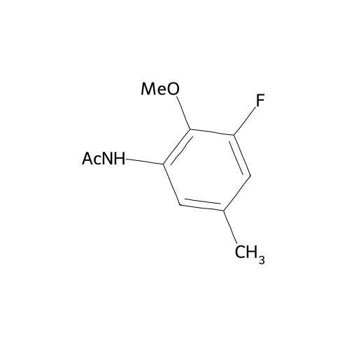 COc1c(F)cc(C)cc1NC(C)=O